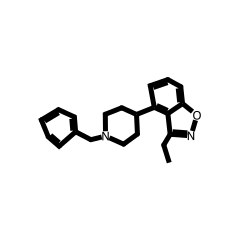 CCc1noc2cccc(C3CCN(Cc4ccccc4)CC3)c12